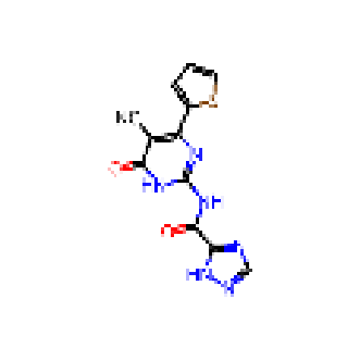 N#Cc1c(-c2cccs2)nc(NC(=O)c2ncn[nH]2)[nH]c1=O